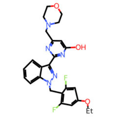 CCOc1cc(F)c(Cn2nc(-c3nc(O)cc(CN4CCOCC4)n3)c3ccccc32)c(F)c1